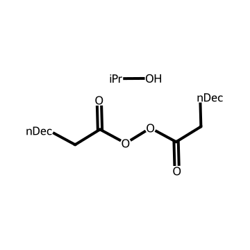 CC(C)O.CCCCCCCCCCCC(=O)OOC(=O)CCCCCCCCCCC